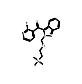 C[Si](C)(C)CCOCn1nc2ccccc2c1C(=O)c1cccnc1F